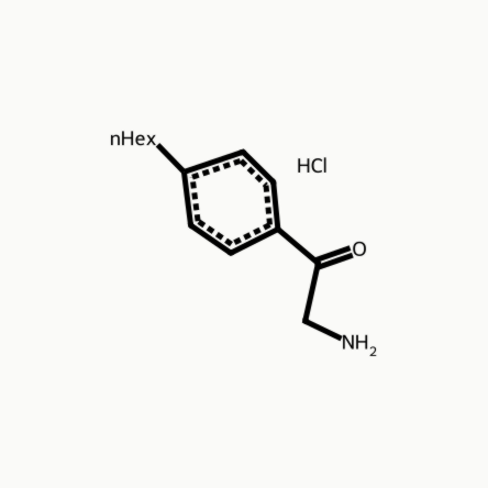 CCCCCCc1ccc(C(=O)CN)cc1.Cl